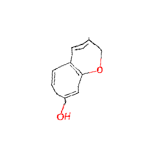 Oc1ccc2c(c1)OC[C]=C2